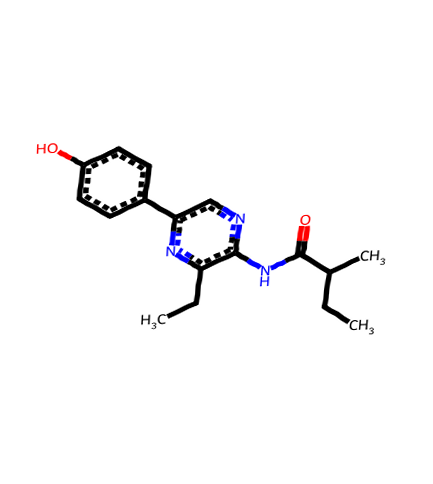 CCc1nc(-c2ccc(O)cc2)cnc1NC(=O)C(C)CC